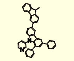 CC1c2ccccc2-c2cc(-c3ccc4c(c3)c3cc(-c5ccccc5)cc(-c5ccccc5)c3n4-c3cccnc3)ccc21